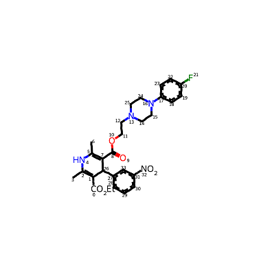 CCOC(=O)C1=C(C)NC(C)=C(C(=O)OCCN2CCN(c3ccc(F)cc3)CC2)C1c1cccc([N+](=O)[O-])c1